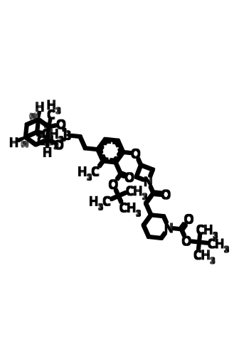 Cc1c(CCB2O[C@@H]3C[C@@H]4C[C@@H](C4(C)C)[C@]3(C)O2)ccc(OC2CN(C(=O)CC3CCCN(C(=O)OC(C)(C)C)C3)C2)c1C(=O)OC(C)(C)C